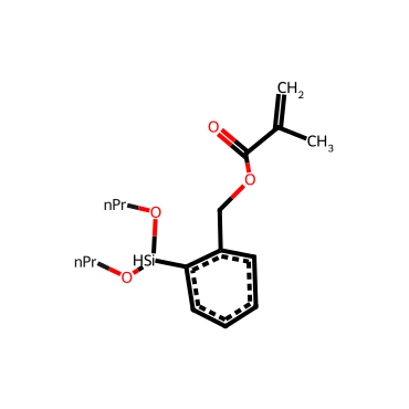 C=C(C)C(=O)OCc1ccccc1[SiH](OCCC)OCCC